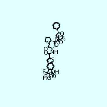 NC(=O)CC[C@H](NC(=O)c1cc2cc(C(F)(F)P(=O)(O)O)ccc2s1)C(=O)N1CCC[C@H]1C(=O)N1CCO[C@H](c2ccccc2)C1